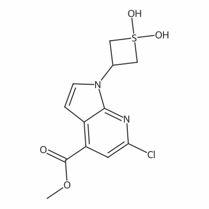 COC(=O)c1cc(Cl)nc2c1ccn2C1CS(O)(O)C1